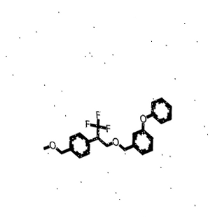 COCc1ccc(C(COCc2cccc(Oc3ccccc3)c2)C(F)(F)F)cc1